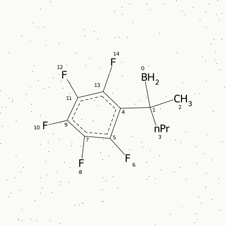 BC(C)(CCC)c1c(F)c(F)c(F)c(F)c1F